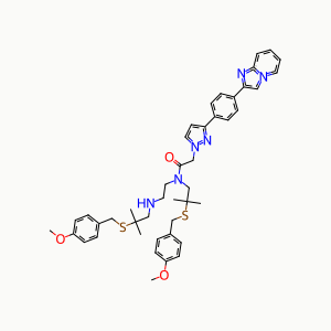 COc1ccc(CSC(C)(C)CNCCN(CC(C)(C)SCc2ccc(OC)cc2)C(=O)Cn2ccc(-c3ccc(-c4cn5ccccc5n4)cc3)n2)cc1